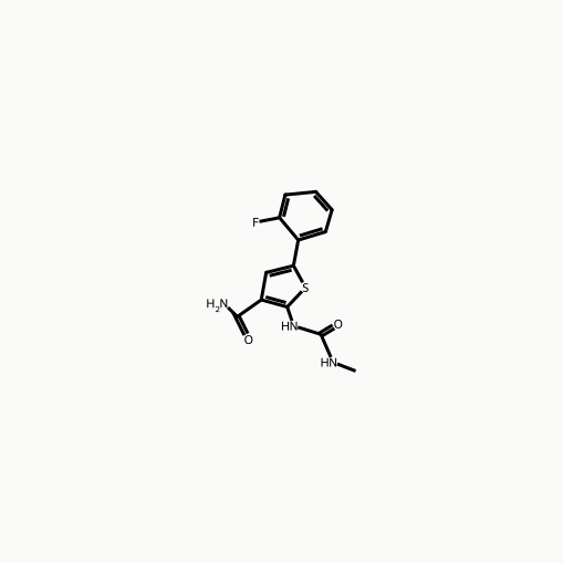 CNC(=O)Nc1sc(-c2ccccc2F)cc1C(N)=O